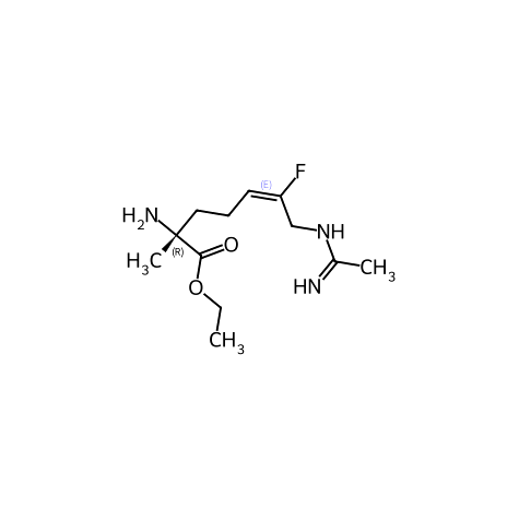 CCOC(=O)[C@](C)(N)CC/C=C(/F)CNC(C)=N